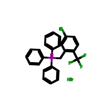 Br.FC(F)(F)c1ccc(Cl)cc1C[PH](c1ccccc1)(c1ccccc1)c1ccccc1